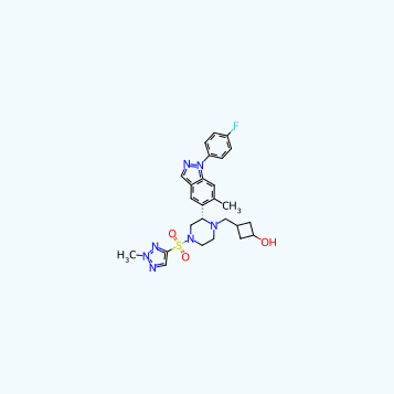 Cc1cc2c(cnn2-c2ccc(F)cc2)cc1[C@H]1CN(S(=O)(=O)c2cnn(C)n2)CCN1CC1CC(O)C1